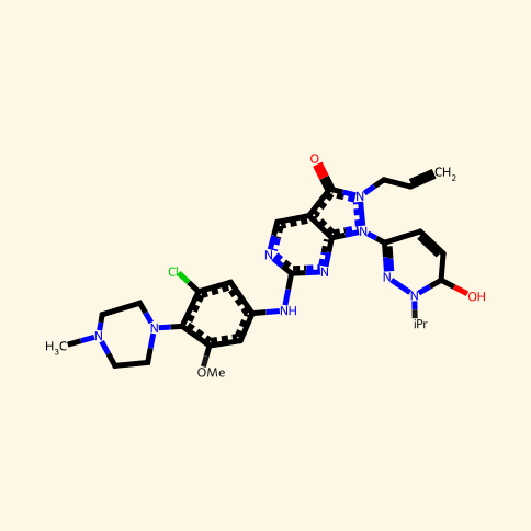 C=CCn1c(=O)c2cnc(Nc3cc(Cl)c(N4CCN(C)CC4)c(OC)c3)nc2n1C1=NN(C(C)C)C(O)C=C1